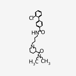 CCN(CC)C(=O)C1CCCN(CCCCNC(=O)c2ccc(-c3ccccc3Cl)cc2)C1